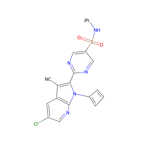 CC(C)NS(=O)(=O)c1cnc(-c2c(C#N)c3cc(Cl)cnc3n2C2=CC=C2)nc1